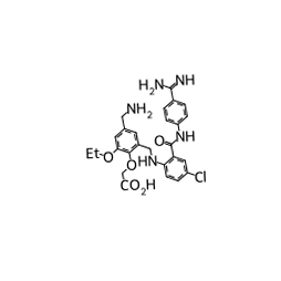 CCOc1cc(CN)cc(CNc2ccc(Cl)cc2C(=O)Nc2ccc(C(=N)N)cc2)c1OCC(=O)O